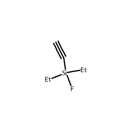 C#C[Si](F)(CC)CC